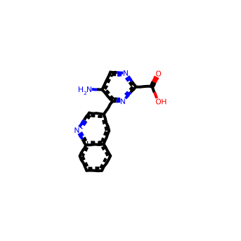 Nc1cnc(C(=O)O)nc1-c1cnc2ccccc2c1